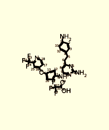 Nc1ccc(CCc2cc(Nc3ccc(Oc4ccnc(C(F)(F)F)c4)cc3)nc(N)n2)cc1.O=C(O)C(F)(F)F